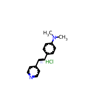 CN(C)c1ccc(/C=C/c2ccncc2)cc1.Cl